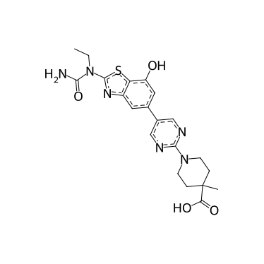 CCN(C(N)=O)c1nc2cc(-c3cnc(N4CCC(C)(C(=O)O)CC4)nc3)cc(O)c2s1